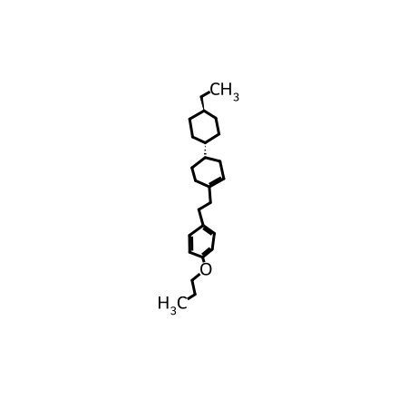 CCCOc1ccc(CCC2=CCC([C@H]3CC[C@H](CC)CC3)CC2)cc1